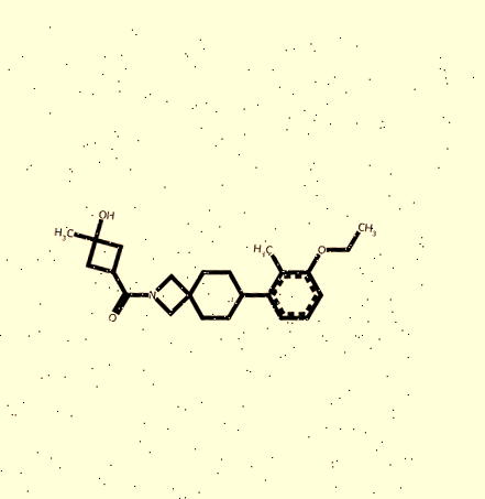 CCOc1cccc(C2CCC3(CC2)CN(C(=O)C2CC(C)(O)C2)C3)c1C